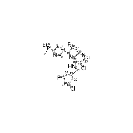 CCP(C)c1ccc(-c2nc3c(NCc4cc(F)cc(Cl)c4)c(Cl)c(C)nc3cc2F)cn1